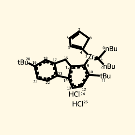 CCCC[C](CCCC)=[Zr]([C]1=CC=CC1)[c]1c(C(C)(C)C)ccc2c1Cc1cc(C(C)(C)C)ccc1-2.Cl.Cl